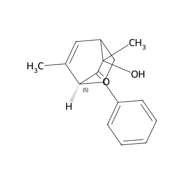 CC1=CC2CC(c3ccccc3)[C@@H]1C(=O)C2(C)O